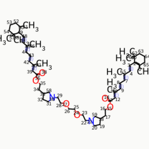 CC1=C(/C=C/C(C)=C/C=C/C(C)=C/C(=O)OCCC2CCN(CCOCCOCCN3CCC(CCOC(=O)/C=C(C)/C=C/C=C(C)/C=C/C4C(C)CCCC4(C)C)C3)C2)C(C)(C)CCC1